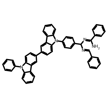 N/C(=N\C(/N=C/c1ccccc1)c1ccc(-n2c3ccccc3c3cc(-c4ccc5c(c4)c4ccccc4n5-c4ccccc4)ccc32)cc1)c1ccccc1